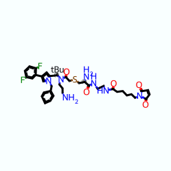 CC(C)(C)[C@H](c1cc(-c2cc(F)ccc2F)cn1Cc1ccccc1)N(CCCN)C(=O)CSC[C@H](N)C(=O)NCCNC(=O)CCCCCN1C(=O)C=CC1=O